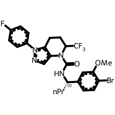 CCC[C@H](NC(=O)N1c2cnn(-c3ccc(F)cc3)c2CCC1C(F)(F)F)c1ccc(Br)c(OC)c1